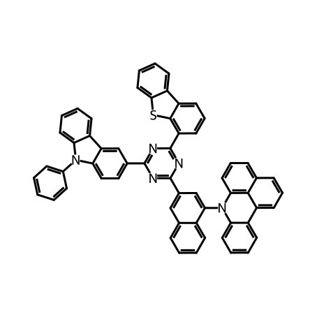 c1ccc(-n2c3ccccc3c3cc(-c4nc(-c5cc(N6c7ccccc7-c7cccc8cccc6c78)c6ccccc6c5)nc(-c5cccc6c5sc5ccccc56)n4)ccc32)cc1